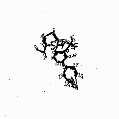 CC(C)C1=CC=C[SH]1c1ccc(-c2ccncc2)cc1C(F)(F)F